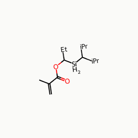 C=C(C)C(=O)OC(CC)[SiH2]C(C(C)C)C(C)C